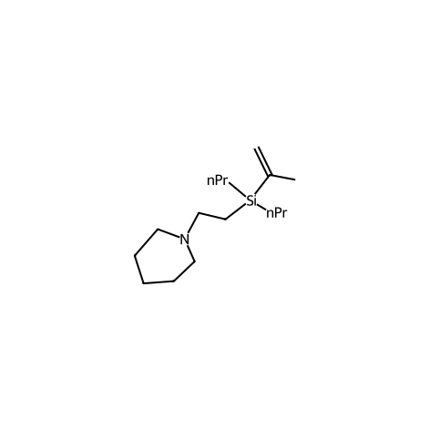 C=C(C)[Si](CCC)(CCC)CCN1CCCCC1